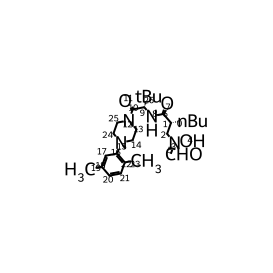 CCCC[C@H](CN(O)C=O)C(=O)N[C@H](C(=O)N1CCN(c2cc(C)ccc2C)CC1)C(C)(C)C